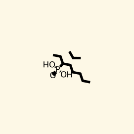 CCC.CCCCCC(CC)P(=O)(O)O